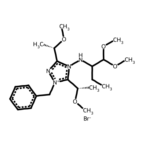 CCC(Nn1c([C@H](C)OC)n[n+](Cc2ccccc2)c1[C@H](C)OC)C(OC)OC.[Br-]